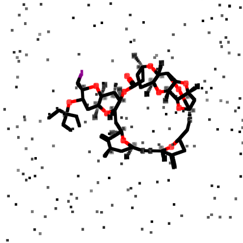 C=C1CC2CC[C@@]34C[C@H]5OC6C(O3)[C@H]3O[C@H](CC[C@@H]3O[C@H]6C5O4)CC(=O)O[C@@H]3[C@@H](C)[C@@H]4O[C@H](CI)C(O[Si](CC)(CC)CC)C[C@@H]4O[C@H]3C[C@H]3O[C@@H](CC[C@@H]1O2)C[C@@H](C)C3=C